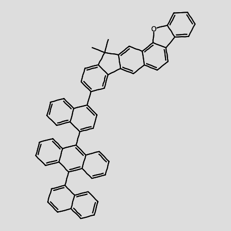 CC1(C)c2ccc(-c3ccc(-c4c5ccccc5c(-c5cccc6ccccc56)c5ccccc45)c4ccccc34)cc2-c2cc3ccc4c5ccccc5oc4c3cc21